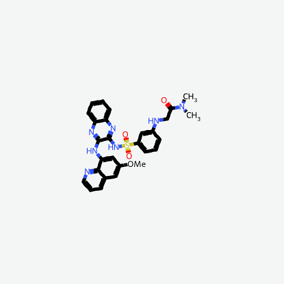 COc1cc(Nc2nc3ccccc3nc2NS(=O)(=O)c2cccc(NCC(=O)N(C)C)c2)c2ncccc2c1